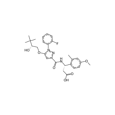 COc1ccc([C@H](CC(=O)O)NC(=O)c2cc(OC[C@H](O)C(C)(C)C)n(-c3ccccc3F)n2)c(C)c1